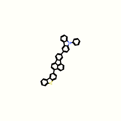 c1ccc(-n2c3ccccc3c3cc(-c4ccc5c(c4)-c4cccc6c(-c7ccc8sc9ccccc9c8c7)ccc-5c46)ccc32)cc1